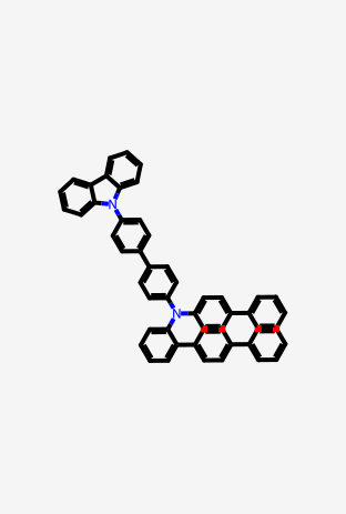 c1ccc(-c2ccc(-c3ccccc3N(c3ccc(-c4ccccc4)cc3)c3ccc(-c4ccc(-n5c6ccccc6c6ccccc65)cc4)cc3)cc2)cc1